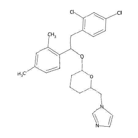 Cc1ccc(C(Cc2ccc(Cl)cc2Cl)OC2CCCC(Cn3ccnc3)O2)c(C)c1